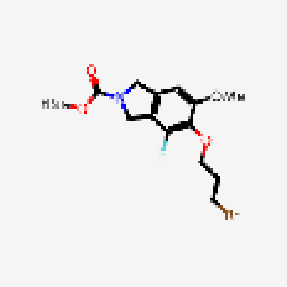 COc1cc2c(c(F)c1OCCCBr)CN(C(=O)OC(C)(C)C)C2